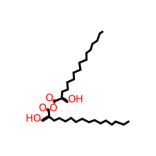 CCCCCCCCCCCCCCC(=CO)C(=O)OC(=O)C(=CO)CCCCCCCCCCCCCC